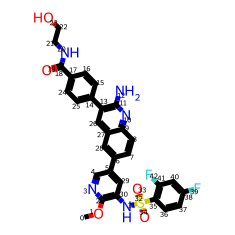 COc1ncc(-c2ccc3nc(N)c(-c4ccc(C(=O)NCCO)cc4)cc3c2)cc1NS(=O)(=O)c1ccc(F)cc1F